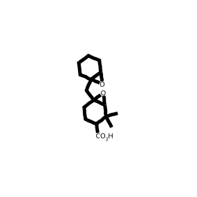 CC1(C)C(C(=O)O)CCC2(CC34CCCCC3O4)OC21